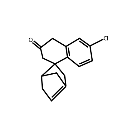 O=C1Cc2cc(Cl)ccc2C2(C1)CC1=CCC2C1